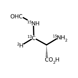 [2H][13CH]([15NH]C=O)[C@H]([15NH2])C(=O)O